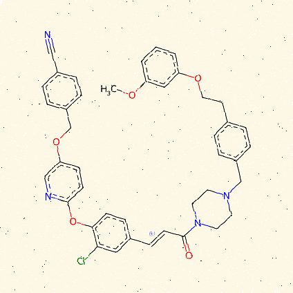 COc1cccc(OCCc2ccc(CN3CCN(C(=O)/C=C/c4ccc(Oc5ccc(OCc6ccc(C#N)cc6)cn5)c(Cl)c4)CC3)cc2)c1